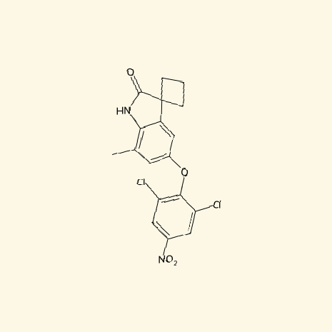 Cc1cc(Oc2c(Cl)cc([N+](=O)[O-])cc2Cl)cc2c1NC(=O)C21CCC1